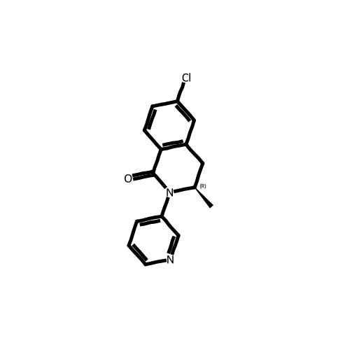 C[C@@H]1Cc2cc(Cl)ccc2C(=O)N1c1cccnc1